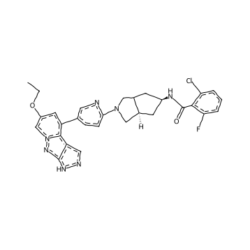 CCOc1cc(-c2ccc(N3CC4C[C@@H](NC(=O)c5c(F)cccc5Cl)C[C@H]4C3)nc2)c2c3cn[nH]c3nn2c1